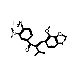 COc1c(/C=C(/C(=O)c2ccc(N)c(N(C)C)c2)C(C)C)ccc2c1OCO2